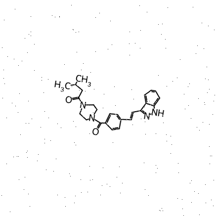 CC(C)CC(=O)N1CCN(C(=O)c2ccc(C=Cc3n[nH]c4ccccc34)cc2)CC1